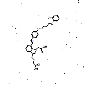 O=C(O)CCCc1cn(CC(=O)O)c2c(/C=C/c3ccc(OCCCCOc4ccccc4F)cc3)cccc12